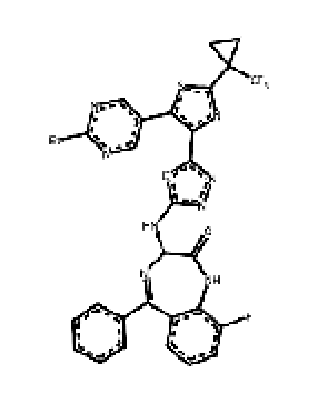 CCc1ncc(-c2sc(C3(C(F)(F)F)CC3)nc2-c2nnc(N[C@@H]3N=C(c4ccccc4)c4cccc(F)c4NC3=O)o2)cn1